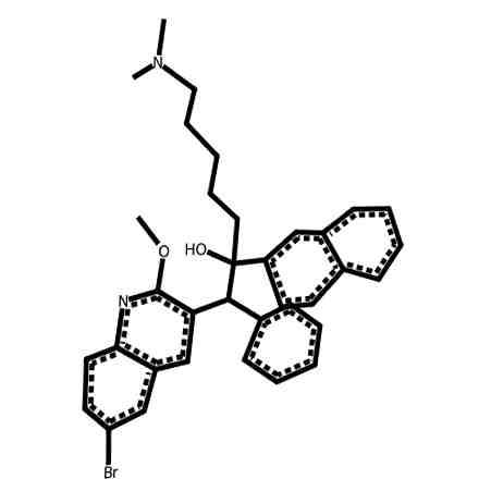 COc1nc2ccc(Br)cc2cc1C(c1ccccc1)C(O)(CCCCCN(C)C)c1ccc2ccccc2c1